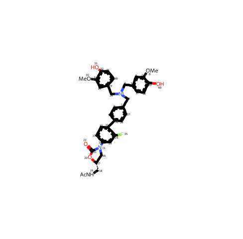 COc1cc(CN(Cc2ccc(-c3ccc(N4C[C@H](CNC(C)=O)OC4=O)cc3F)cc2)Cc2ccc(O)c(OC)c2)ccc1O